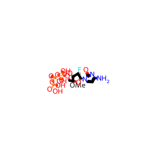 COC1(COP(=O)(O)OP(=O)(O)OP(=O)(O)O)O[C@@H](n2ccc(N)nc2=O)[C@H](F)[C@@H]1O